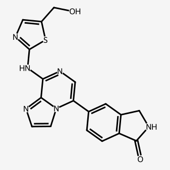 O=C1NCc2cc(-c3cnc(Nc4ncc(CO)s4)c4nccn34)ccc21